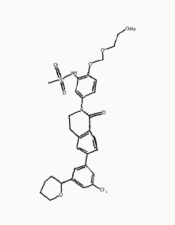 COCCOCOc1ccc(N2CCc3cc(-c4cc(C5CCCCO5)cc(C(F)(F)F)c4)ccc3C2=O)cc1NS(C)(=O)=O